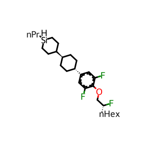 CCCCCC[C@@H](F)COc1c(F)cc([C@H]2CC[C@H](C3CC[SiH](CCC)CC3)CC2)cc1F